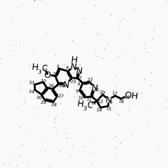 COc1cc2[nH]nc(-c3ccc(C4(C)CCN(CCO)C4)nc3)c2nc1-c1cccc2c1CCC2